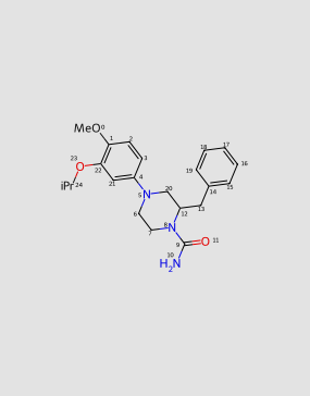 COc1ccc(N2CCN(C(N)=O)C(Cc3ccccc3)C2)cc1OC(C)C